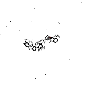 Cn1ccc(Oc2ccc(-c3n[nH]c4nc(N5CC[C@@H]6[C@H](C5)[C@@]6(CN)c5ccccc5F)cnc34)c(Cl)c2Cl)n1